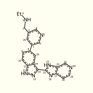 CCNCc1cncc(-c2ccc3[nH]nc(-c4nc5ccncc5[nH]4)c3c2)c1